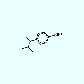 CC(C)N(C)c1ccc(C#N)cc1